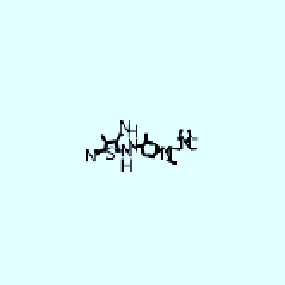 CCN(CC[N+](CC)(CC)CC)c1ccc(NNc2sc(C#N)c(C)c2C#N)c(C)c1